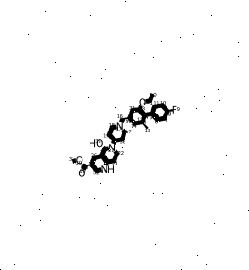 CCOC1=C(C2=CC[C@H](F)CC2)[C@@H](C)C[C@@H](CN2CCC(N3CCC4=C(C[C@H](C(=O)OC)CN4)C3O)CC2)C1